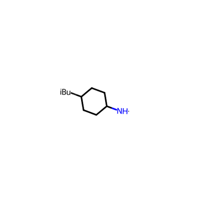 CCC(C)C1CCC([NH])CC1